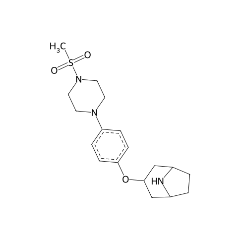 CS(=O)(=O)N1CCN(c2ccc(OC3CC4CCC(C3)N4)cc2)CC1